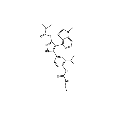 CCNC(=O)Oc1ccc(-c2[nH]nc(SC(=O)N(C)C)c2-c2cccc3c2ccn3C)cc1C(C)C